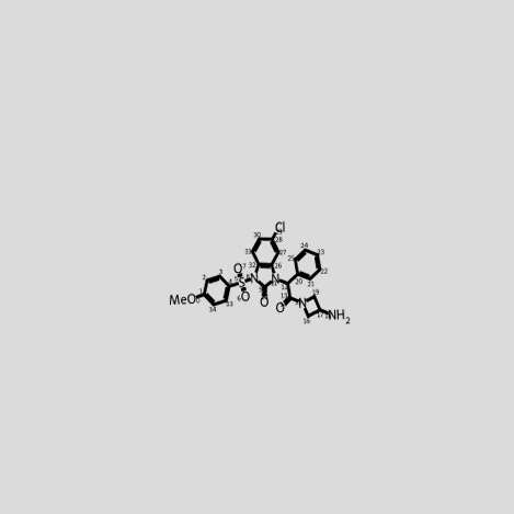 COc1ccc(S(=O)(=O)n2c(=O)n(C(C(=O)N3CC(N)C3)c3ccccc3)c3cc(Cl)ccc32)cc1